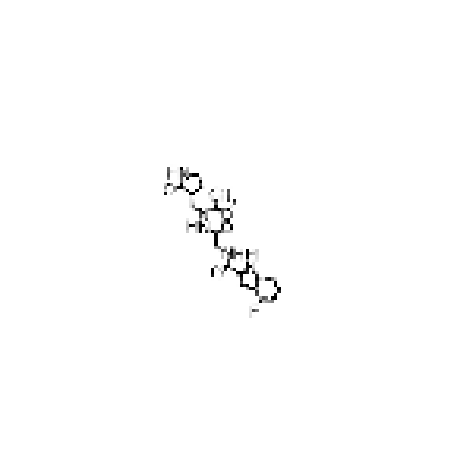 CC(=O)N(CC1CCNC1=O)NC(=O)CNC(=O)c1cc2c(F)cccc2[nH]1